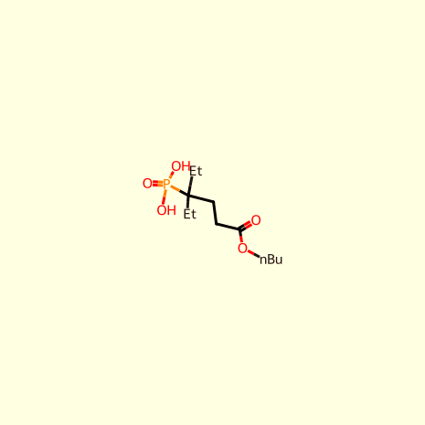 CCCCOC(=O)CCC(CC)(CC)P(=O)(O)O